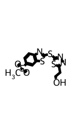 CS(=O)(=O)c1ccc2nc(Sc3nnc(CCO)s3)sc2c1